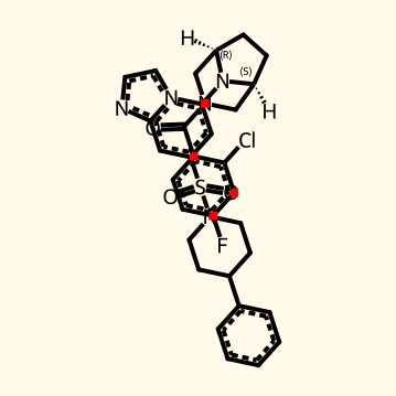 O=C(c1ccc(F)cc1Cl)N1C[C@H]2CC[C@@H](C1)N2c1cc(S(=O)(=O)N2CCC(c3ccccc3)CC2)cc2nccn12